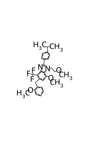 COCCn1c(-c2ccc(C(C)C)cc2)nc2c(C(F)(F)F)c(Cc3ccccc3OC)cc(OC)c21